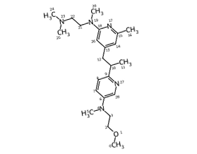 COCCN(C)c1ccc(C(C)Cc2cc(C)nc(N(C)CCN(C)C)c2)nc1